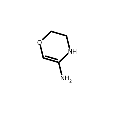 NC1=COCCN1